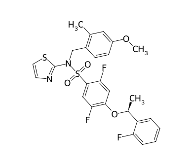 COc1ccc(CN(c2nccs2)S(=O)(=O)c2cc(F)c(O[C@@H](C)c3ccccc3F)cc2F)c(C)c1